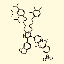 COc1ccc([N+](=O)[O-])cc1Nc1nccc(-c2c(-c3ccc4ccoc4c3)nc(CCCOc3ccc(C(C)C)c(C(C)C)c3C(C)C)n2COCCc2ccc(C)c(C)c2C)n1